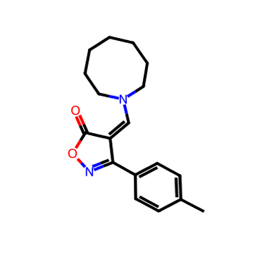 Cc1ccc(C2=NOC(=O)C2=CN2CCCCCCC2)cc1